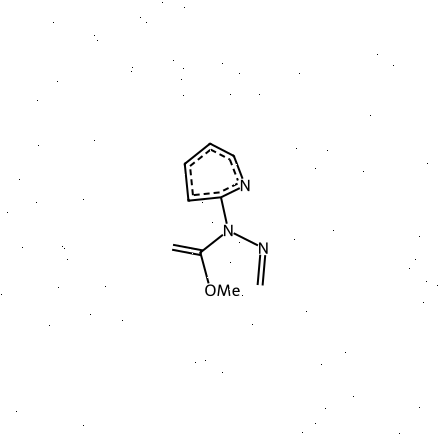 C=NN(C(=C)OC)c1ccccn1